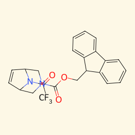 O=C(OCC1c2ccccc2-c2ccccc21)N1CC2C=CC(C1)N2C(=O)C(F)(F)F